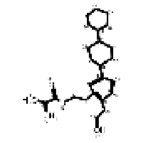 C=C(C)C(=O)OCCc1cc(C2CCC(C3CCCCC3)CC2)ccc1CCO